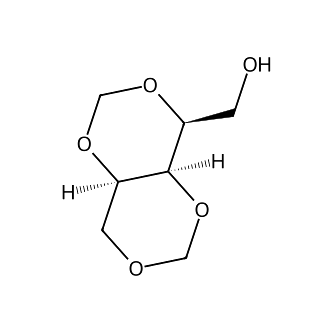 OC[C@@H]1OCO[C@@H]2COCO[C@H]12